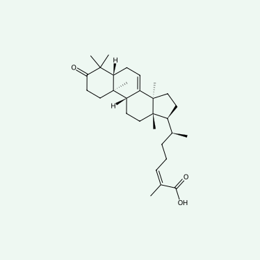 C/C(=C/CC[C@H](C)[C@@H]1CC[C@]2(C)C3=CC[C@H]4C(C)(C)C(=O)CC[C@]4(C)[C@H]3CC[C@@]12C)C(=O)O